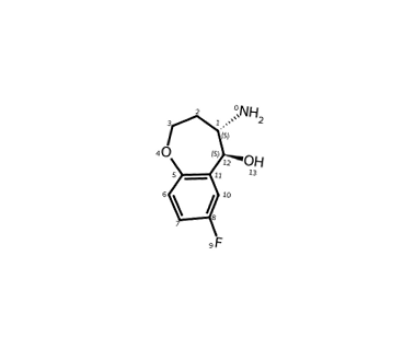 N[C@H]1CCOc2ccc(F)cc2[C@@H]1O